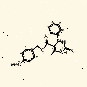 COc1ccc(COC(=O)C2=C(C)NC(=S)NC2c2ccccc2)cc1